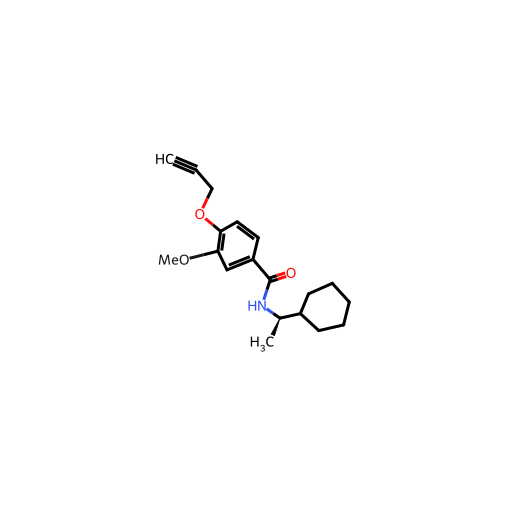 C#CCOc1ccc(C(=O)N[C@H](C)C2CCCCC2)cc1OC